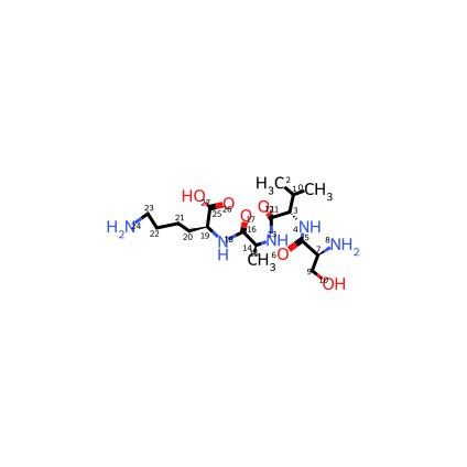 CC(C)[C@H](NC(=O)[C@@H](N)CO)C(=O)N[C@@H](C)C(=O)N[C@@H](CCCCN)C(=O)O